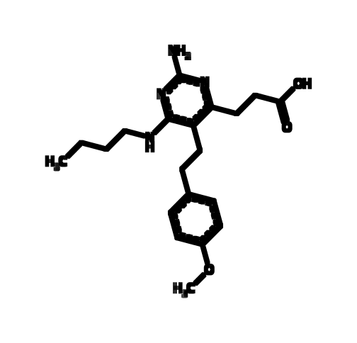 CCCCNc1nc(N)nc(CCC(=O)O)c1CCc1ccc(OC)cc1